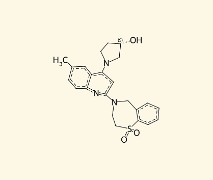 Cc1ccc2nc(N3CCS(=O)(=O)c4ccccc4C3)cc(N3CC[C@H](O)C3)c2c1